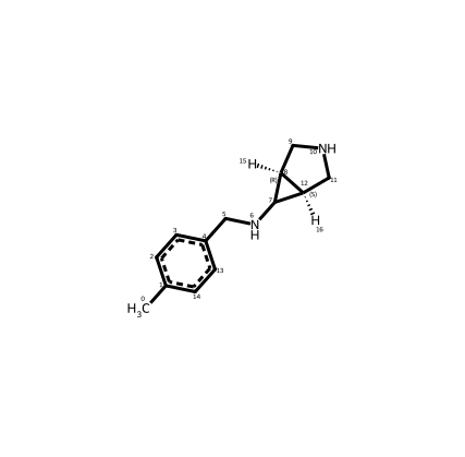 Cc1ccc(CNC2[C@H]3CNC[C@@H]23)cc1